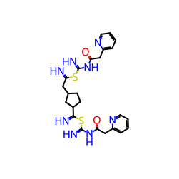 N=C(CC1CCC(C(=N)SC(=N)NC(=O)Cc2ccccn2)C1)SC(=N)NC(=O)Cc1ccccn1